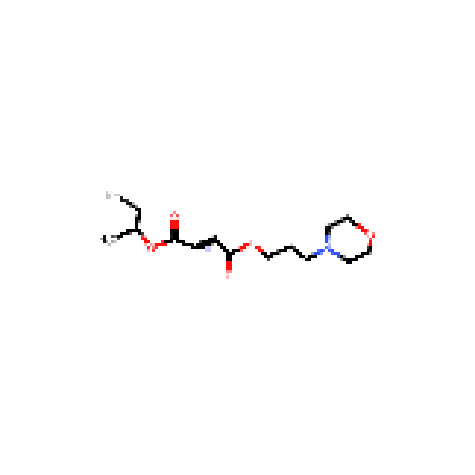 CC(C)CC(C)OC(=O)/C=C/C(=O)OCCCN1CCOCC1